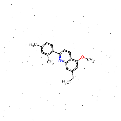 CCc1cc(OC)c2ccc(-c3ccc(C)cc3C)nc2c1